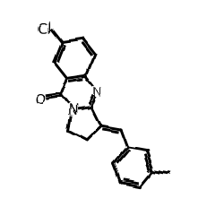 Cc1cccc(C=C2CCn3c2nc2ccc(Cl)cc2c3=O)c1